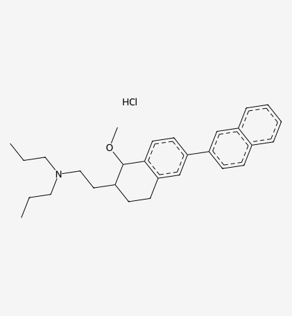 CCCN(CCC)CCC1CCc2cc(-c3ccc4ccccc4c3)ccc2C1OC.Cl